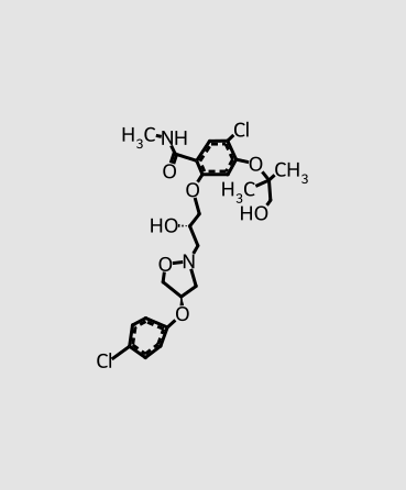 CNC(=O)c1cc(Cl)c(OC(C)(C)CO)cc1OC[C@@H](O)CN1C[C@@H](Oc2ccc(Cl)cc2)CO1